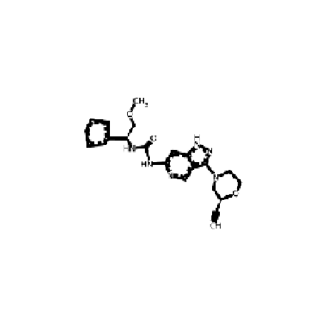 C#C[C@H]1CN(c2n[nH]c3cc(NC(=O)N[C@H](COC)c4ccccc4)ncc23)CCO1